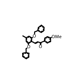 COc1ccc(C(=O)C=Cc2c(OCc3ccccc3)cc(C)cc2OCc2ccccc2)cc1